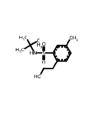 Cc1ccc(CCO)c(S(=O)(=O)NC(C)(C)C)c1